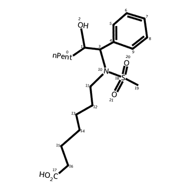 CCCCCC(O)C(c1ccccc1)N(CCCCCCC(=O)O)S(C)(=O)=O